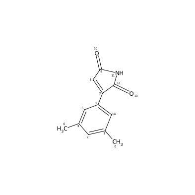 Cc1cc(C)cc(C2=CC(=O)NC2=O)c1